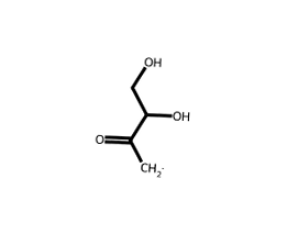 [CH2]C(=O)C(O)CO